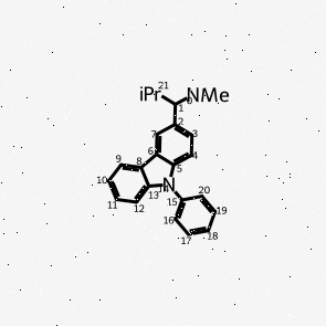 CNC(c1ccc2c(c1)c1ccccc1n2-c1ccccc1)C(C)C